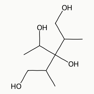 CC(O)C(O)(C(C)CO)C(C)CO